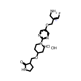 Cl.Cl.NC/C(=C\F)COc1cnc(N2CCC(OCC3CCNC3=O)CC2)nc1